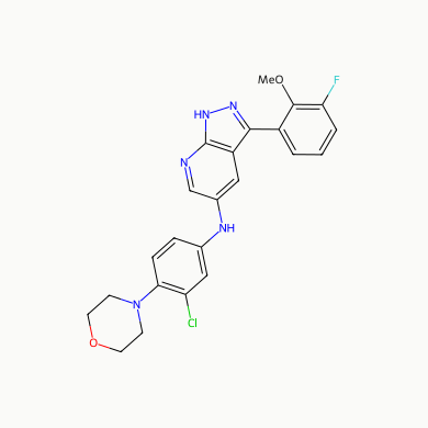 COc1c(F)cccc1-c1n[nH]c2ncc(Nc3ccc(N4CCOCC4)c(Cl)c3)cc12